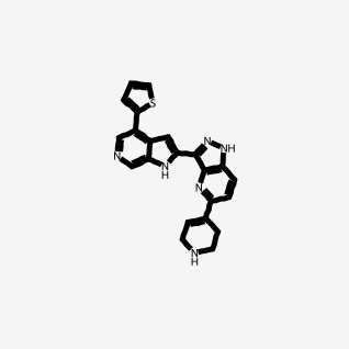 C1=C(c2ccc3[nH]nc(-c4cc5c(-c6cccs6)cncc5[nH]4)c3n2)CCNC1